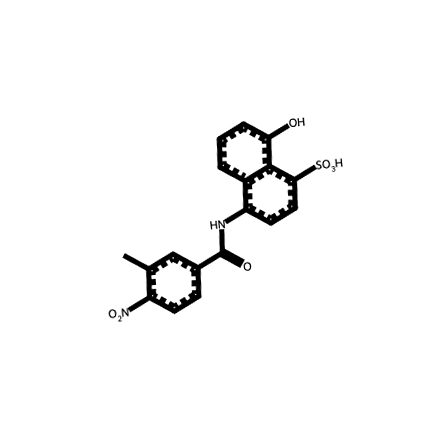 Cc1cc(C(=O)Nc2ccc(S(=O)(=O)O)c3c(O)cccc23)ccc1[N+](=O)[O-]